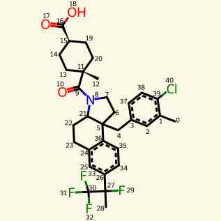 Cc1cc(CC23CCN(C(=O)[C@]4(C)CC[C@@H](C(=O)O)CC4)C2CCc2cc(C(C)(F)C(F)(F)F)ccc23)ccc1Cl